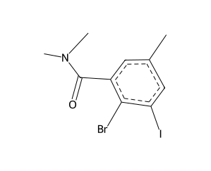 Cc1cc(I)c(Br)c(C(=O)N(C)C)c1